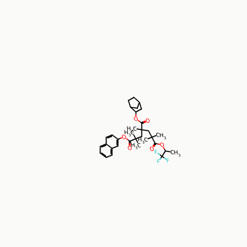 CC(OC(=O)C(C)(C)CC(C)(CC(C)(C)C(=O)Oc1ccc2ccccc2c1)C(=O)OC1CC2CCC1C2)C(F)(F)F